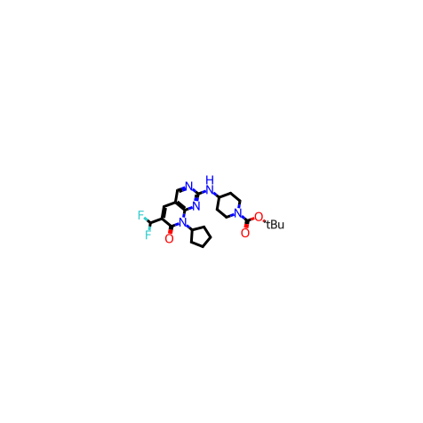 CC(C)(C)OC(=O)N1CCC(Nc2ncc3cc(C(F)F)c(=O)n(C4CCCC4)c3n2)CC1